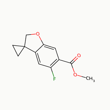 COC(=O)c1cc2c(cc1F)C1(CC1)CO2